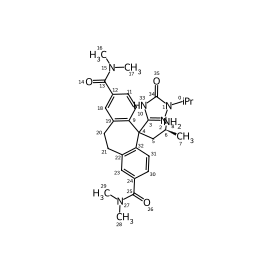 CC(C)n1nc(C2(C[C@H](C)N)c3ccc(C(=O)N(C)C)cc3CCc3cc(C(=O)N(C)C)ccc32)[nH]c1=O